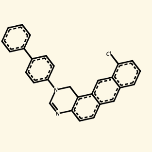 Clc1cccc2cc3ccc4c(c3cc12)CN(c1ccc(-c2ccccc2)cc1)C=N4